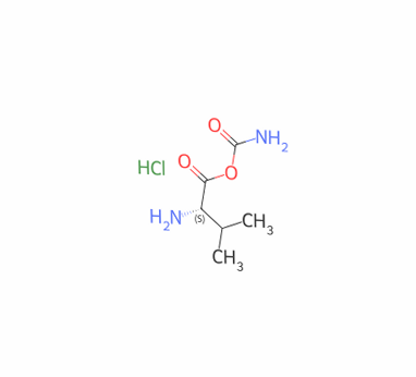 CC(C)[C@H](N)C(=O)OC(N)=O.Cl